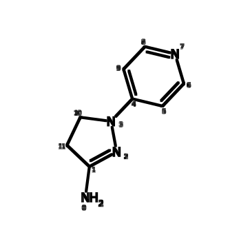 NC1=NN(c2ccncc2)CC1